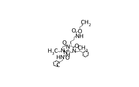 C=CCOC(=O)NCCC[C@H]1C(=O)N(CC(C)c2ccccc2)C[C@H]2N1C(=O)CN(CC)N2C(=O)NCc1ccccc1